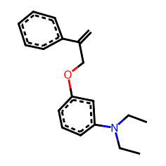 C=C(COc1cccc(N(CC)CC)c1)c1ccccc1